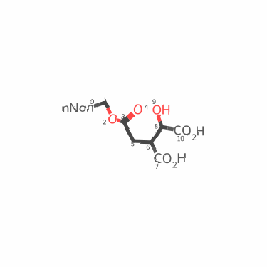 CCCCCCCCCCOC(=O)CC(C(=O)O)C(O)C(=O)O